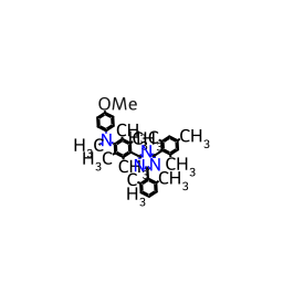 COc1ccc(N(C)c2c(C)c(C)c(-c3nc(-c4c(C)cccc4C)nc(-c4c(C)cc(C)cc4C)n3)c(C)c2C)cc1